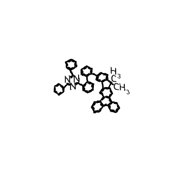 CC1(C)c2ccc(-c3ccccc3-c3ccccc3-c3nc(-c4ccccc4)nc(-c4ccccc4)n3)cc2-c2cc3c4ccccc4c4ccccc4c3cc21